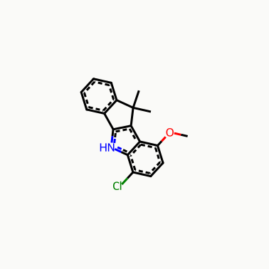 COc1ccc(Cl)c2[nH]c3c(c12)C(C)(C)c1ccccc1-3